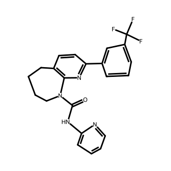 O=C(Nc1ccccn1)N1CCCCc2ccc(-c3cccc(C(F)(F)F)c3)nc21